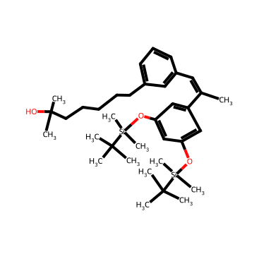 CC(=Cc1cccc(CCCCCC(C)(C)O)c1)c1cc(O[Si](C)(C)C(C)(C)C)cc(O[Si](C)(C)C(C)(C)C)c1